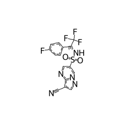 N#Cc1cnn2cc(S(=O)(=O)N[C@H](c3ccc(F)cc3)C(F)(F)F)cnc12